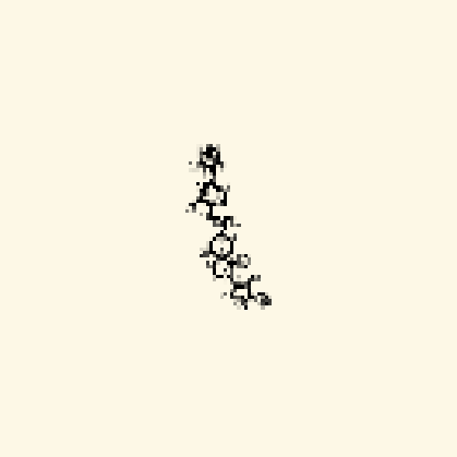 CC1=C(N2CCC3(CCC(N(C)Cc4ncc(-n5cnnn5)nc4C)CC3)C2=O)COC1=O